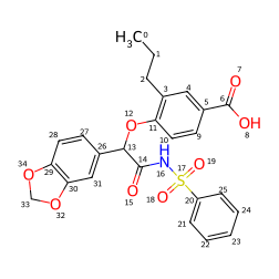 CCCc1cc(C(=O)O)ccc1OC(C(=O)NS(=O)(=O)c1ccccc1)c1ccc2c(c1)OCO2